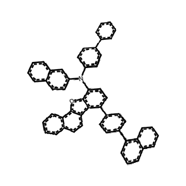 c1ccc(-c2ccc(N(c3ccc4ccccc4c3)c3ccc(-c4ccc(-c5cccc6ccccc56)cc4)c4c3oc3c5ccccc5ccc34)cc2)cc1